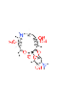 CC[C@H]1OC(=O)[C@H](C)[C@@H](O[C@H]2CC(N(C)C)[C@H](O)C(C)O2)[C@H](C)[C@@H](O)[C@](C)(O)C[C@@H](C)CN(C)[C@H](C)[C@@H](O)[C@H]1C